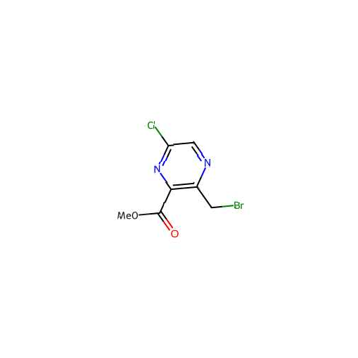 COC(=O)c1nc(Cl)cnc1CBr